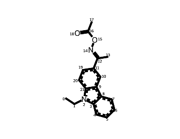 CCn1c2cc[c]cc2c2cc(C(C)=NOC(C)=O)ccc21